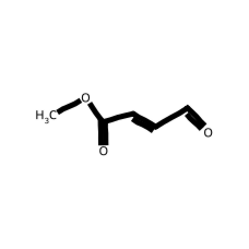 COC(=O)C=C[C]=O